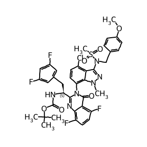 COc1ccc(CN(c2nn(C)c3c(-n4c([C@H](Cc5cc(F)cc(F)c5)NC(=O)OC(C)(C)C)nc5c(F)ccc(F)c5c4=O)ccc(Cl)c23)S(C)(=O)=O)cc1